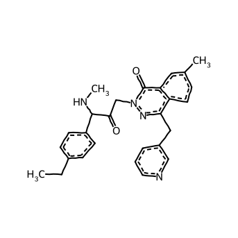 CCc1ccc(C(NC)C(=O)Cn2nc(Cc3cccnc3)c3ccc(C)cc3c2=O)cc1